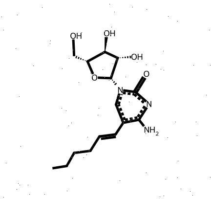 CCCCC=Cc1cn([C@@H]2O[C@H](CO)[C@@H](O)[C@@H]2O)c(=O)nc1N